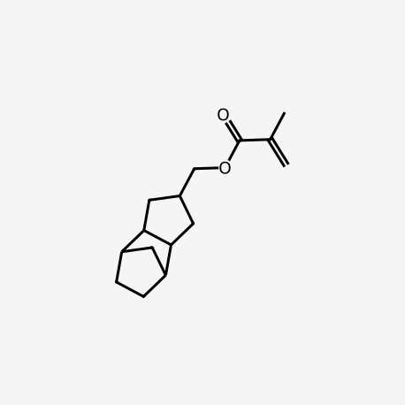 C=C(C)C(=O)OCC1CC2C3CCC(C3)C2C1